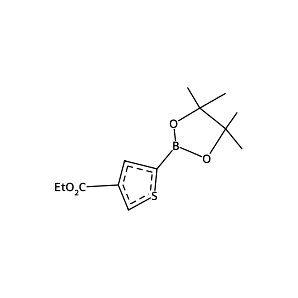 CCOC(=O)c1csc(B2OC(C)(C)C(C)(C)O2)c1